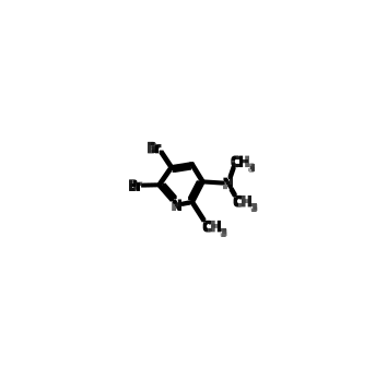 Cc1nc(Br)c(Br)cc1N(C)C